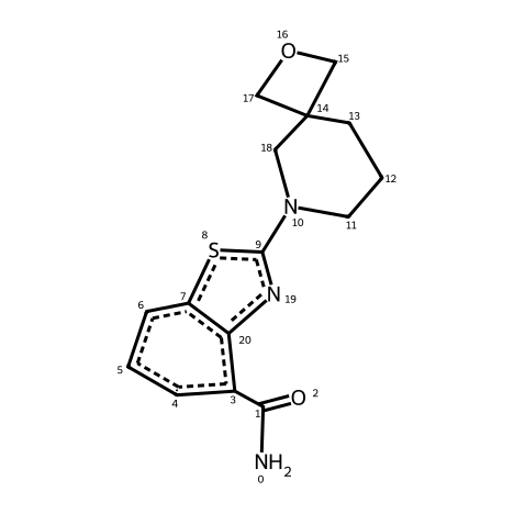 NC(=O)c1[c]ccc2sc(N3CCCC4(COC4)C3)nc12